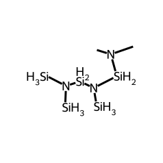 CN(C)[SiH2]N([SiH3])[SiH2]N([SiH3])[SiH3]